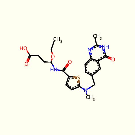 CCO[C@H](CCC(=O)O)NC(=O)c1ccc(N(C)Cc2ccc3nc(C)[nH]c(=O)c3c2)s1